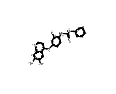 [C-]#[N+]c1cc2c(Oc3ccc(NC(=O)Nc4ccccc4)c(F)c3)ccnc2cc1O